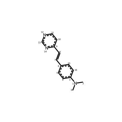 CN(C)c1ccc(C=Cc2ccncn2)cc1